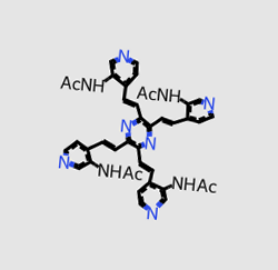 CC(=O)Nc1cnccc1C=Cc1nc(C=Cc2ccncc2NC(C)=O)c(C=Cc2ccncc2NC(C)=O)nc1C=Cc1ccncc1NC(C)=O